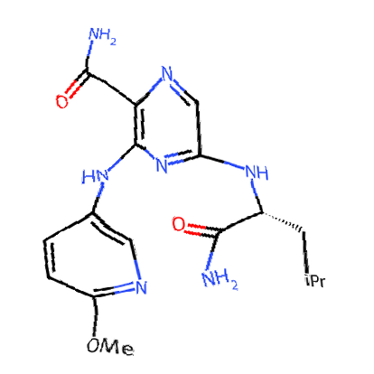 COc1ccc(Nc2nc(N[C@H](CC(C)C)C(N)=O)cnc2C(N)=O)cn1